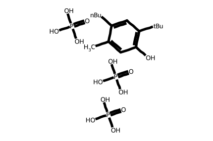 CCCCc1cc(C(C)(C)C)c(O)cc1C.O=P(O)(O)O.O=P(O)(O)O.O=P(O)(O)O